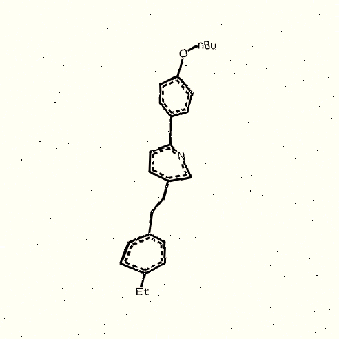 CCCCOc1ccc(-c2ccc(CCc3ccc(CC)cc3)cn2)cc1